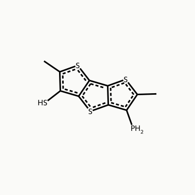 Cc1sc2c(sc3c(S)c(C)sc32)c1P